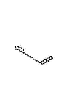 CCCCCCCCCCCCCCCCCCc1ccc2cc3cc4ccccc4cc3cc2c1